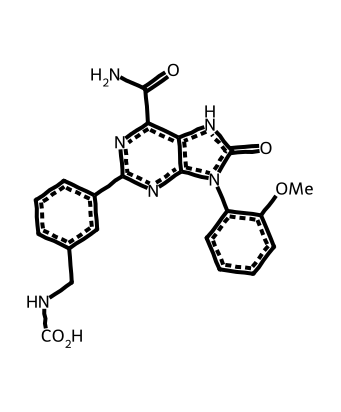 COc1ccccc1-n1c(=O)[nH]c2c(C(N)=O)nc(-c3cccc(CNC(=O)O)c3)nc21